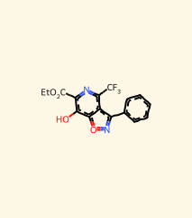 CCOC(=O)c1nc(C(F)(F)F)c2c(-c3ccccc3)noc2c1O